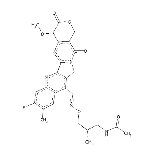 COC1C(=O)OCc2c1cc1n(c2=O)Cc2c-1nc1cc(F)c(C)cc1c2/C=N/OCC(C)CNC(C)=O